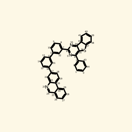 c1ccc(-c2nc(-c3cccc(-c4cccc(-c5ccc6c(c5)ncc5ccccc56)c4)c3)nc3c2sc2ccccc23)cc1